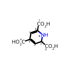 O=C(O)[C]1C=C(C(=O)O)C=C(C(=O)O)N1